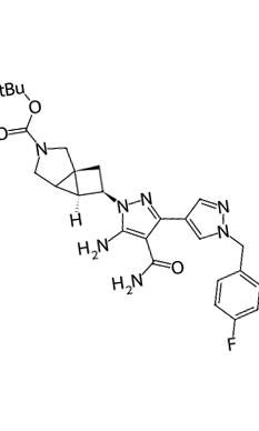 CC(C)(C)OC(=O)N1CC2[C@@H]3[C@H](n4nc(-c5cnn(Cc6ccc(F)cc6)c5)c(C(N)=O)c4N)C[C@]23C1